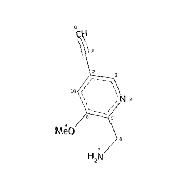 C#Cc1cnc(CN)c(OC)c1